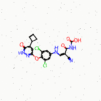 N#CC(=CNc1cc(Cl)c(Oc2cc(C3CCC3)c(=O)[nH]n2)c(Cl)c1)C(=O)NC(=O)O